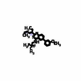 C=C/C(=C\C=C/C)c1nc(NCC(C)(F)P)c2cc(-c3cccc(OC)c3)ccc2n1